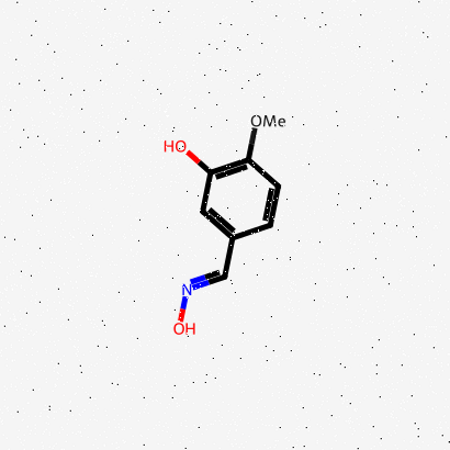 COc1ccc(/C=N/O)cc1O